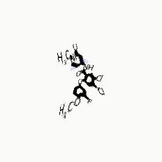 CN/C=C\C(=C/C=O)NC(=O)c1cc(Cl)c(Cl)cc1Oc1ccc(OC)c(F)c1